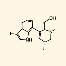 C[C@@H]1C=C(c2cccc3c(F)c[nH]c23)[C@@H](CO)N(C)C1